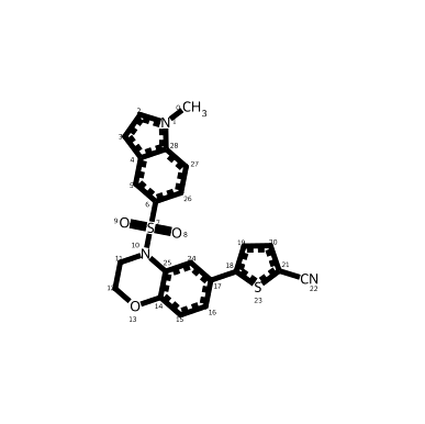 Cn1ccc2cc(S(=O)(=O)N3CCOc4ccc(-c5ccc(C#N)s5)cc43)ccc21